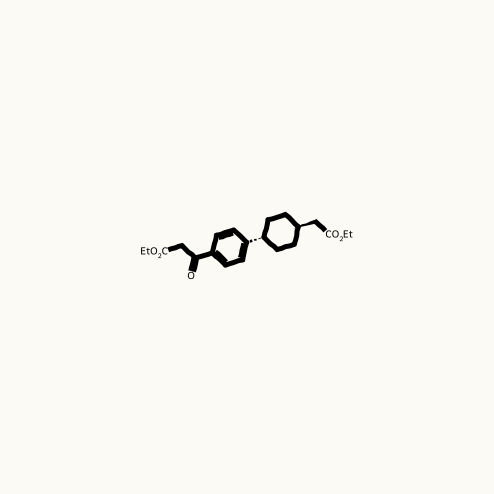 CCOC(=O)CC(=O)c1ccc([C@H]2CC[C@H](CC(=O)OCC)CC2)cc1